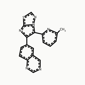 Cc1cccc(-c2c(-c3ccc4ncncc4c3)nc3scnn23)n1